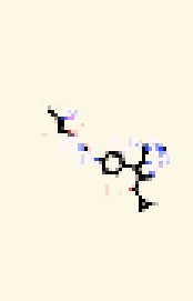 CC(C)(C)c1cc(NC(=O)Nc2ccc(-c3c(C(O)C4CC4)cn4ncnc(N)c34)cc2)on1